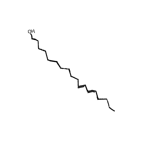 CCCCC=CC=CCCCCCCCCCCO